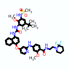 COc1cc(Nc2cc(Oc3ccc(NC(=O)Nc4cc(C(C)(C)C)cc(NS(C)(=O)=O)c4OC)c4ccccc34)ccn2)ccc1C(=O)NCCN1CCCCC1(F)F